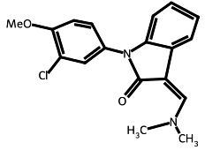 COc1ccc(N2C(=O)/C(=C\N(C)C)c3ccccc32)cc1Cl